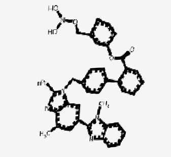 CCCc1nc2c(C)cc(-c3nc4ccccc4n3C)cc2n1Cc1ccc(-c2ccccc2C(=O)Oc2cccc(CON(O)O)c2)cc1